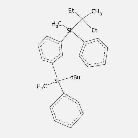 CCC(C)(CC)[Si](C)(c1ccccc1)c1cccc([Si](C)(c2ccccc2)C(C)(C)C)c1